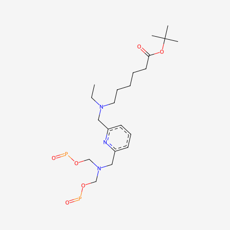 CCN(CCCCCC(=O)OC(C)(C)C)Cc1cccc(CN(COP=O)COP=O)n1